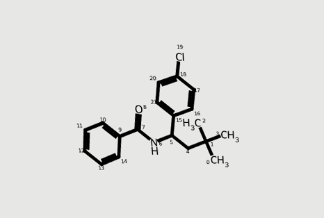 CC(C)(C)CC(NC(=O)c1ccccc1)c1ccc(Cl)cc1